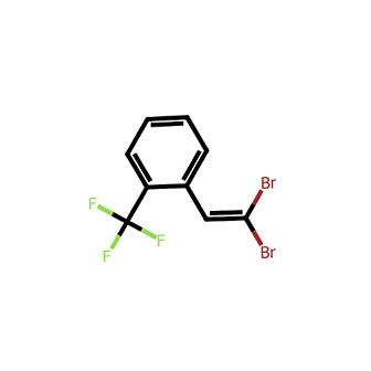 FC(F)(F)c1ccccc1C=C(Br)Br